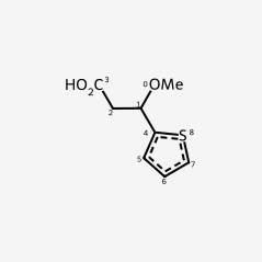 COC(CC(=O)O)c1cccs1